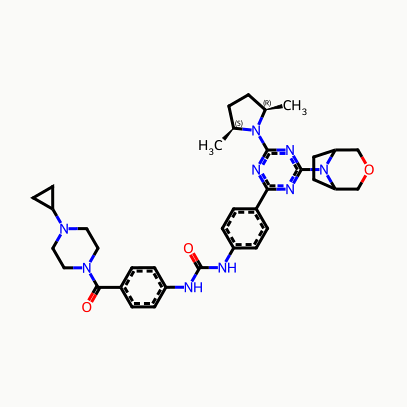 C[C@@H]1CC[C@H](C)N1c1nc(-c2ccc(NC(=O)Nc3ccc(C(=O)N4CCN(C5CC5)CC4)cc3)cc2)nc(N2C3CCC2COC3)n1